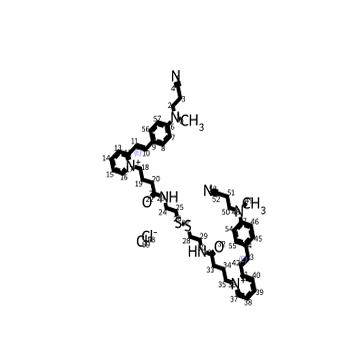 CN(CCC#N)c1ccc(/C=C/c2cccc[n+]2CCCC(=O)NCCSSCCNC(=O)CCC[n+]2ccccc2/C=C/c2ccc(N(C)CCC#N)cc2)cc1.[Cl-].[Cl-]